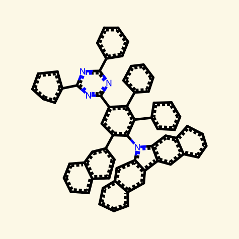 c1ccc(-c2nc(-c3ccccc3)nc(-c3cc(-c4ccc5ccccc5c4)c(-n4c5cc6ccccc6cc5c5cc6ccccc6cc54)c(-c4ccccc4)c3-c3ccccc3)n2)cc1